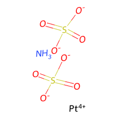 N.O=S(=O)([O-])[O-].O=S(=O)([O-])[O-].[Pt+4]